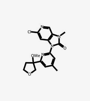 COC1(c2cc(C)cc(-n3c(=O)n(C)c4cnc(Cl)cc43)n2)CCOC1